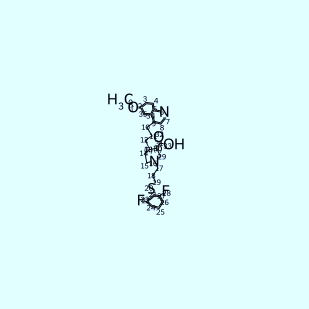 COc1ccc2nccc(CCC[C@@H]3CCN(CCCSc4c(F)cccc4F)C[C@@H]3C(=O)O)c2c1